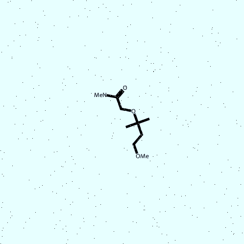 CNC(=O)COC(C)(C)CCOC